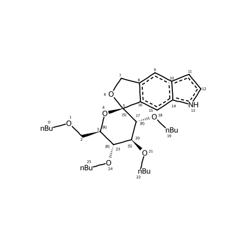 CCCCOC[C@H]1O[C@]2(OCc3cc4cc[nH]c4cc32)[C@H](OCCCC)[C@@H](OCCCC)[C@@H]1OCCCC